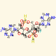 CC(C)(C)[Si](C)(C)OC1[C@H]2OP(=O)(S)OCC3O[C@@H](n4cnc5c(N)ncnc54)[C@H](F)[C@@H]3OP(=O)(S)OC[C@H]1O[C@H]2n1cnc2c(N)ncnc21